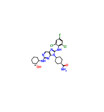 NC(=O)[C@H]1CC[C@@H](n2c(Nc3c(Cl)cc(F)cc3Cl)nc3cnc(NC4CCCC[C@H]4O)nc32)CC1